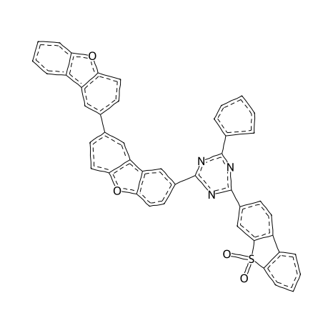 O=S1(=O)c2ccccc2-c2ccc(-c3nc(-c4ccccc4)nc(-c4ccc5oc6ccc(-c7ccc8oc9ccccc9c8c7)cc6c5c4)n3)cc21